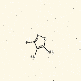 Nc1onc(F)c1N